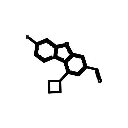 O=Cc1cc(C2CCC2)c2c(c1)oc1cc(F)ccc12